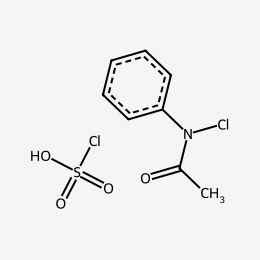 CC(=O)N(Cl)c1ccccc1.O=S(=O)(O)Cl